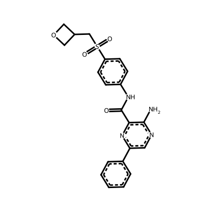 Nc1ncc(-c2ccccc2)nc1C(=O)Nc1ccc(S(=O)(=O)CC2COC2)cc1